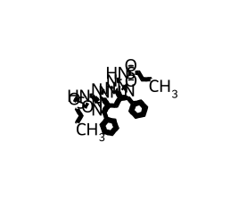 CCCCS(=O)(=O)Nc1n[nH]c2c(/C=c3/c(-c4ccccc4)nn4c(NS(=O)(=O)CCCC)nnc34)c(-c3ccccc3)nn12